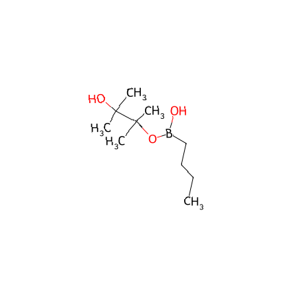 CCCCB(O)OC(C)(C)C(C)(C)O